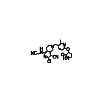 Cc1nc(OC2CCNC2=O)ccc1CN1CCc2c(NCC#N)nc(Cl)c(C#N)c2C1